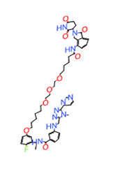 C[C@H](NC(=O)c1cccc(NCc2nnc(-c3ccncn3)n2C)c1)c1cc(OCCCCCCOCCOCCOCCCCCC(=O)Nc2cccc3c2CN(C2CCC(=O)NC2=O)C3=O)ccc1F